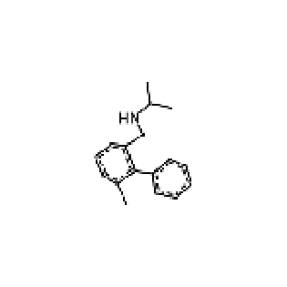 Cc1cccc(CNC(C)C)c1-c1ccccc1